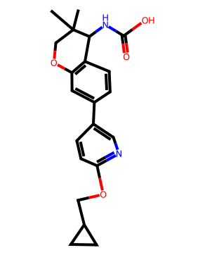 CC1(C)COc2cc(-c3ccc(OCC4CC4)nc3)ccc2C1NC(=O)O